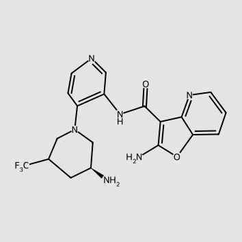 Nc1oc2cccnc2c1C(=O)Nc1cnccc1N1CC(C(F)(F)F)C[C@H](N)C1